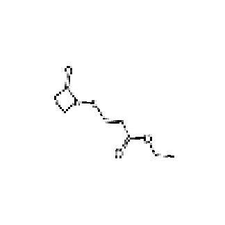 CCOC(=O)C=CSN1CCC1=O